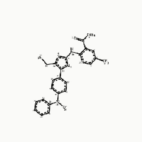 COC(=O)c1cc(C(F)(F)F)cnc1Nc1nc(-c2ccc([S+]([O-])c3ccccc3)cc2)c(CC(C)C)s1